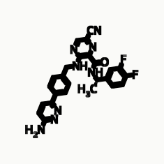 C[C@H](NC(=O)c1nc(C#N)cnc1NCc1ccc(-c2ccc(N)nn2)cc1)c1ccc(F)c(F)c1